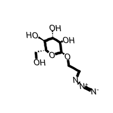 [N-]=[N+]=NCCO[C@H]1O[C@H](CO)[C@@H](O)[C@H](O)[C@H]1O